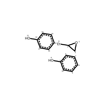 CCC1CO1.Oc1ccccc1.Oc1ccccc1